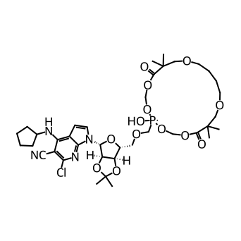 CC1(C)O[C@@H]2[C@H](O1)[C@@H](COC[P]1(O)OCOC(=O)C(C)(C)COCCCCOCC(C)(C)C(=O)OCO1)O[C@H]2n1ccc2c(NC3CCCC3)c(C#N)c(Cl)nc21